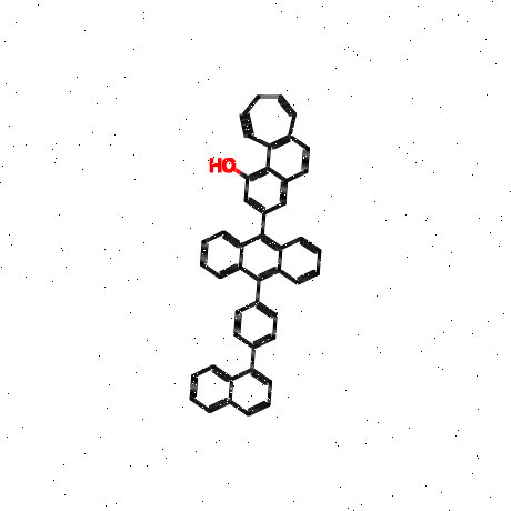 Oc1cc(-c2c3ccccc3c(-c3ccc(-c4cccc5ccccc45)cc3)c3ccccc23)cc2ccc3c(c12)C#CCC=C3